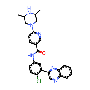 CC1CN(c2ccc(C(=O)Nc3ccc(Cl)c(-c4cnc5ccccc5n4)c3)cn2)CC(C)N1